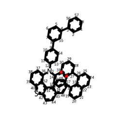 c1ccc(-c2cccc(-c3ccc(N(c4ccc(-c5cccc6cccc(-c7ccccc7)c56)cc4)c4cccc5sc6ccc7ccccc7c6c45)cc3)c2)cc1